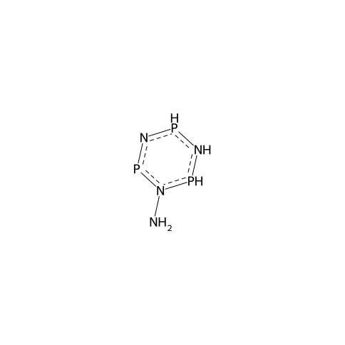 Nn1pn[pH][nH][pH]1